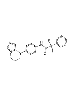 O=C(Nc1ccc(C2CCCn3cncc32)cc1)C(F)(F)c1cccnc1